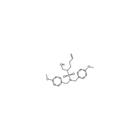 C=CCCC(CO)S(=O)(=O)N(Cc1ccc(OC)cc1)Cc1ccc(OC)cc1